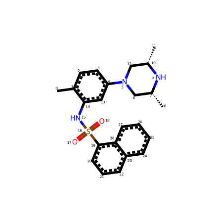 Cc1ccc(N2C[C@@H](C)N[C@@H](C)C2)cc1NS(=O)(=O)c1cccc2ccccc12